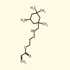 C=CC(=O)OCCONCC1(C)CC(N)CC(C)(C)C1